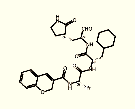 CC(C)[C@H](NC(=O)C1=Cc2ccccc2OC1)C(=O)N[C@@H](CC1CCCCC1)C(=O)N[C@H](C=O)C[C@@H]1CCNC1=O